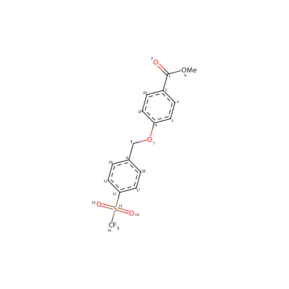 COC(=O)c1ccc(OCc2ccc(S(=O)(=O)C(F)(F)F)cc2)cc1